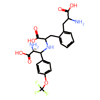 NC(Cc1ccccc1CC(NC(c1ccc(OC(F)(F)F)cc1)[C@H](N)C(=O)O)C(=O)O)C(=O)O